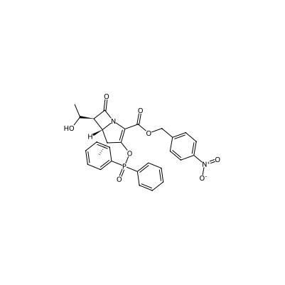 CC(O)[C@H]1C(=O)N2C(C(=O)OCc3ccc([N+](=O)[O-])cc3)=C(OP(=O)(c3ccccc3)c3ccccc3)[C@H](C)[C@H]12